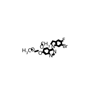 COCCOc1cc2ncnc(N3CCc4cc(F)c(Br)cc43)c2cc1OC